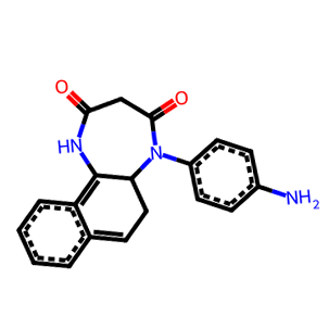 Nc1ccc(N2C(=O)CC(=O)NC3=c4ccccc4=CCC32)cc1